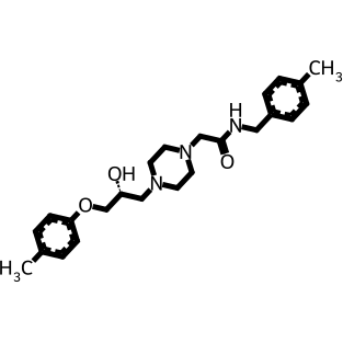 Cc1ccc(CNC(=O)CN2CCN(C[C@@H](O)COc3ccc(C)cc3)CC2)cc1